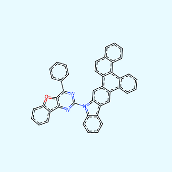 c1ccc(-c2nc(-n3c4ccccc4c4cc5c6ccccc6c6c7ccccc7ccc6c5cc43)nc3c2oc2ccccc23)cc1